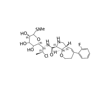 CSC1O[C@H]([C@H](NC(=O)[C@H]2NC[C@@H]3C=C(c4ccccc4F)CCO[C@@H]23)[C@H](C)Cl)C(O)C(O)[C@H]1O